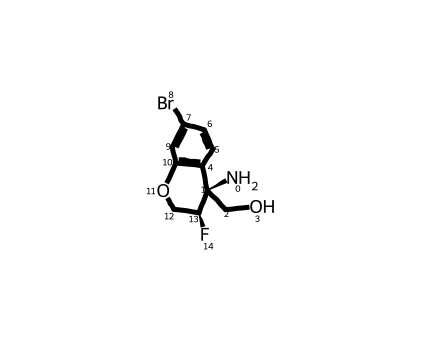 N[C@]1(CO)c2ccc(Br)cc2OC[C@@H]1F